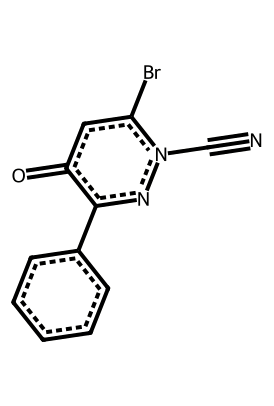 N#Cn1nc(-c2ccccc2)c(=O)cc1Br